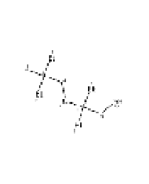 CCC(C)(CC)COC(CC)(CC)CS